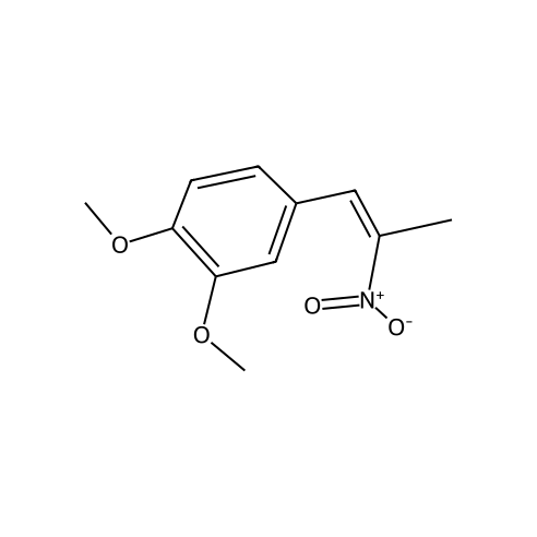 COc1ccc(C=C(C)[N+](=O)[O-])cc1OC